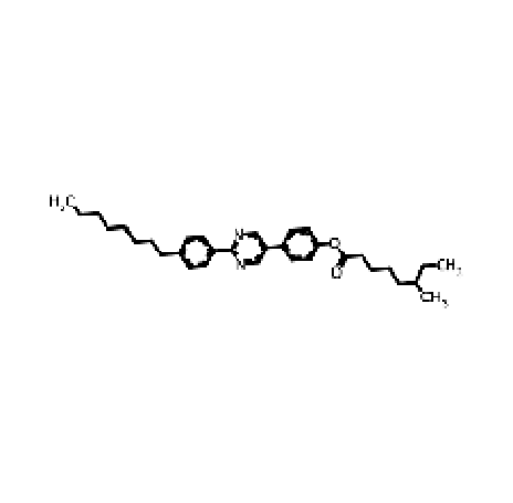 CCCCCCCCc1ccc(-c2ncc(-c3ccc(OC(=O)CCCCC(C)CC)cc3)cn2)cc1